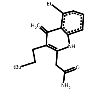 C=C1C(CCC(C)(C)C)=C(CC(N)=O)Nc2cccc(CC)c21